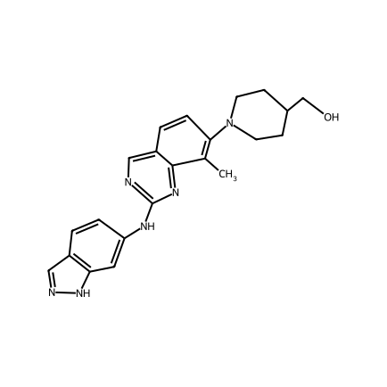 Cc1c(N2CCC(CO)CC2)ccc2cnc(Nc3ccc4cn[nH]c4c3)nc12